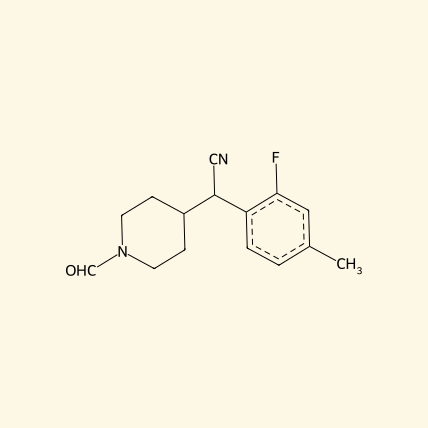 Cc1ccc(C(C#N)C2CCN(C=O)CC2)c(F)c1